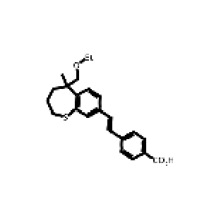 CCOCC1(C)CCCSc2cc(C=Cc3ccc(C(=O)O)cc3)ccc21